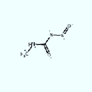 CNC(=O)[N]N=O